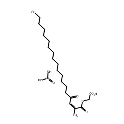 CC(=CC(=O)CCCCCCCCCCCCCCC(C)C)C(=O)OCC(=O)O.[O]=[Ti]([OH])[OH]